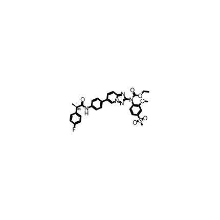 CCOC(=O)N(c1nc2ccc(-c3ccc(NC(=O)[C@H](C)c4ccc(F)cc4)cc3)cn2n1)c1ccc(S(C)(=O)=O)cc1OC